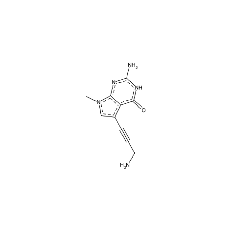 Cn1cc(C#CCN)c2c(=O)[nH]c(N)nc21